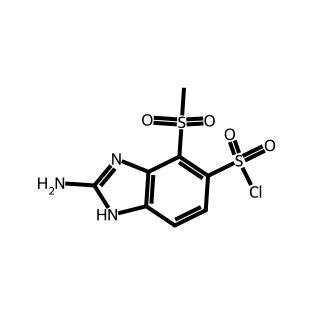 CS(=O)(=O)c1c(S(=O)(=O)Cl)ccc2[nH]c(N)nc12